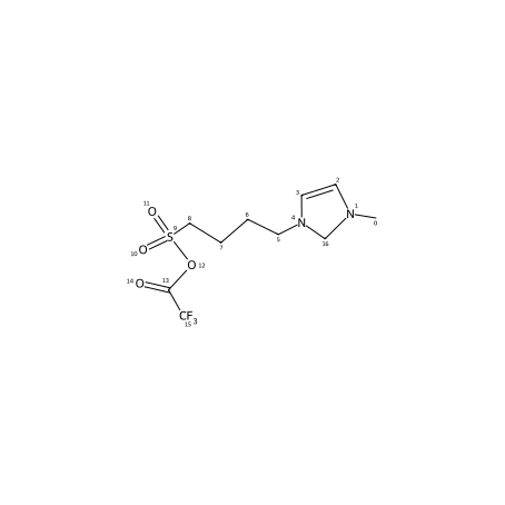 CN1C=CN(CCCCS(=O)(=O)OC(=O)C(F)(F)F)C1